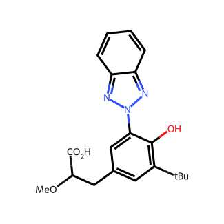 COC(Cc1cc(-n2nc3ccccc3n2)c(O)c(C(C)(C)C)c1)C(=O)O